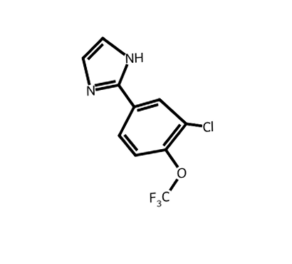 FC(F)(F)Oc1ccc(-c2ncc[nH]2)cc1Cl